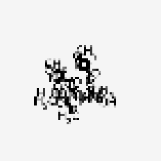 CCCCCN(C(=O)N1C(c2ccc(OC)nc2)COCC1(C)C)C(C)(C)C.COc1ccc(C(=O)COCC(C)(C)NC(=O)O)cn1